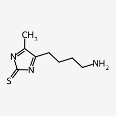 CC1=NC(=S)N=C1CCCCN